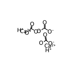 O=C([O-])[O-].O=C([O-])[O-].O=C([O-])[O-].[Ca+2].[Ca+2].[H+].[H+]